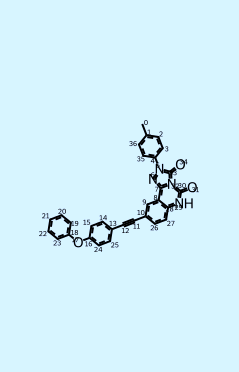 Cc1ccc(-n2nc3c4cc(C#Cc5ccc(Oc6ccccc6)cc5)ccc4[nH]c(=O)n3c2=O)cc1